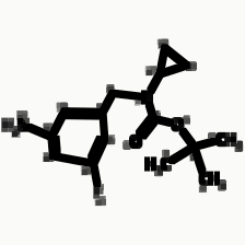 CC(C)(C)OC(=O)N(Cc1cc(N)cc(F)c1)C1CC1